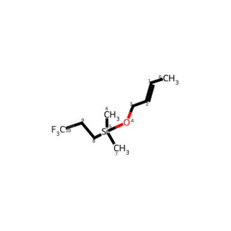 CC=CCO[Si](C)(C)CCC(F)(F)F